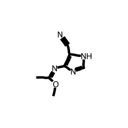 COC(C)=Nc1nc[nH]c1C#N